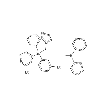 CB(c1ccccc1)c1ccccc1.CCc1cccc([Si](Cn2ccnc2)(c2ccccc2)c2cccc(CC)c2)c1